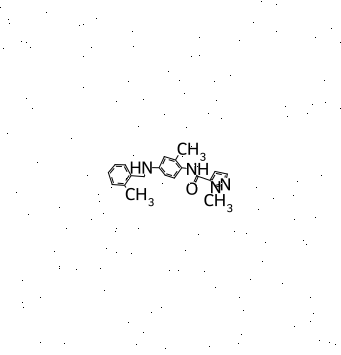 Cc1ccccc1CNc1ccc(NC(=O)c2ccnn2C)c(C)c1